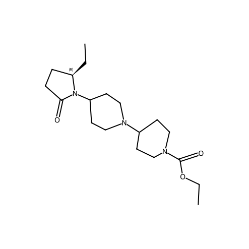 CCOC(=O)N1CCC(N2CCC(N3C(=O)CC[C@H]3CC)CC2)CC1